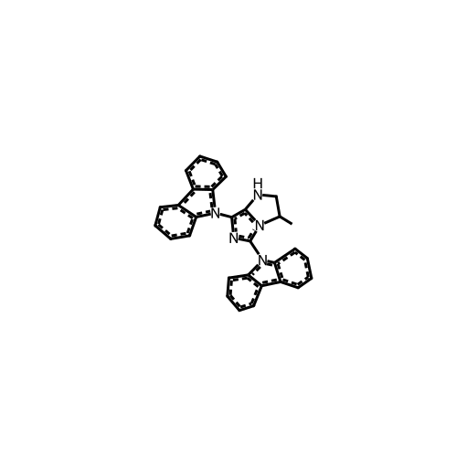 CC1CNc2c(-n3c4ccccc4c4ccccc43)nc(-n3c4ccccc4c4ccccc43)n21